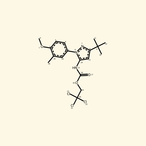 COc1ccc(-n2nc(C(C)(C)C)cc2NC(=O)OCC(Cl)(Cl)Cl)cc1C